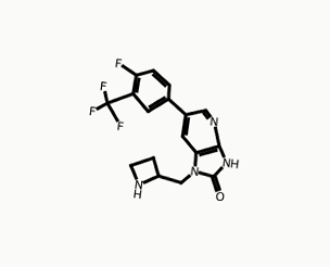 O=c1[nH]c2ncc(-c3ccc(F)c(C(F)(F)F)c3)cc2n1CC1CCN1